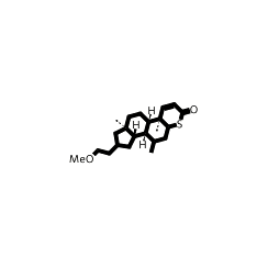 COCCC1C[C@H]2[C@@H]3C(C)CC4SC(=O)C=C[C@]4(C)[C@@H]3CC[C@]2(C)C1